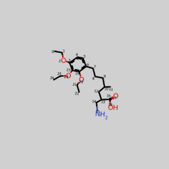 CCOc1ccc(CCCC(C)CC(CN)C(=O)O)c(OCC)c1OCC